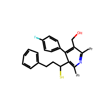 CC(C)c1nc(C(C)C)c(C(S)CCc2ccccc2)c(-c2ccc(F)cc2)c1CO